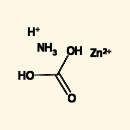 N.O=C(O)O.[H+].[Zn+2]